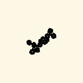 c1ccc(-c2ccc(N(c3ccc4c(c3)Oc3ccc5c6c(ccc-4c36)Oc3cc(N(c4ccccc4)c4ccccc4)ccc3-5)c3cccc4c3oc3ccccc34)cc2)cc1